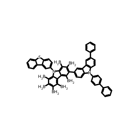 Bc1c(B)c(B)c2c(c1B)c1c(B)c(-c3ccc4c(c3)c3cc(-c5ccccc5)ccc3n4-c3ccc(-c4ccccc4)cc3)c(B)c(B)c1n2-c1ccc2sc3ccccc3c2c1